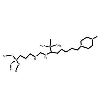 CCO[Si](CCCNC[SiH2]C(CCCCCN1CCN(C)CC1)[Si](C)(OC)OC)(OCC)OCC